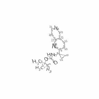 CC(C)(C)OC(=O)NC1(c2ccc3cnccc3n2)CC1